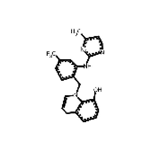 Cc1ccnc(Nc2cc(C(F)(F)F)ccc2CN2C=CCc3cccc(O)c32)n1